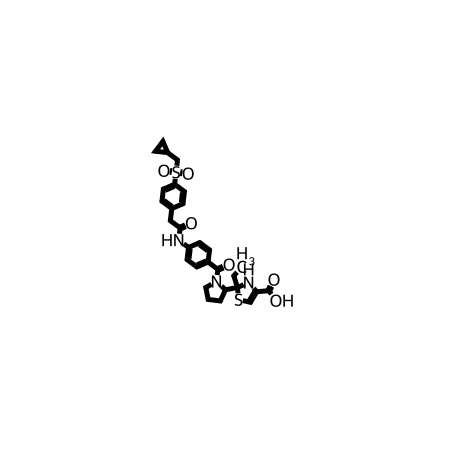 CCC1(C2CCCN2C(=O)c2ccc(NC(=O)Cc3ccc(S(=O)(=O)CC4CC4)cc3)cc2)NC(C(=O)O)=CS1